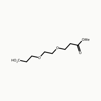 COC(=O)CCOCCOCCC(=O)O